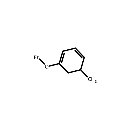 CCOC1=CC=CC(C)C1